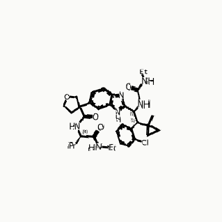 CCNC(=O)N[C@H](c1nc2ccc(C3(C(=O)N[C@@H](C(=O)NCC)C(C)C)CCOC3)cc2[nH]1)[C@H](c1ccccc1Cl)C1(C)CC1